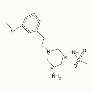 COc1cccc(CCN2C[C@@H](N)C[C@@H](NS(C)(=O)=O)C2)c1